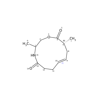 CC1COC(=O)[C@H](C)C/C=C/CCC(=O)N1